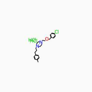 Cc1ccc(CCCN2CCN(CCOCc3ccc(Cl)cc3)CC2)cc1.Cl.Cl